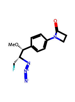 CO[C@H](c1ccc(N2CCC2=O)cc1)[C@@H](CF)N=[N+]=[N-]